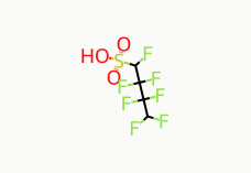 O=S(=O)(O)C(F)C(F)(F)C(F)(F)C(F)F